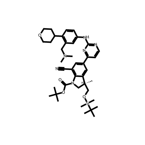 CN(C)Cc1cc(Nc2nccc(-c3cc(C#N)c4c(c3)[C@@](C)(CO[Si](C)(C)C(C)(C)C)CN4C(=O)OC(C)(C)C)n2)ccc1C1CCOCC1